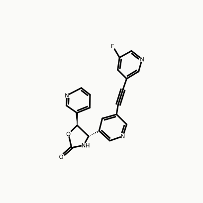 O=C1N[C@@H](c2cncc(C#Cc3cncc(F)c3)c2)[C@H](c2cccnc2)O1